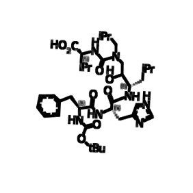 CC(C)C[C@H](NC(=O)[C@H](Cc1c[nH]cn1)NC(=O)[C@H](Cc1ccccc1)NC(=O)OC(C)(C)C)C(O)CN(CC(C)C)C(=O)N[C@H](C(=O)O)C(C)C